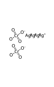 [Ag+].[Ag+].[Ag+].[Ag+].[O]=[Cr](=[O])([O-])[O-].[O]=[Cr](=[O])([O-])[O-]